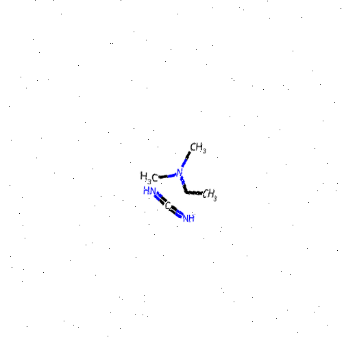 CCN(C)C.N=C=N